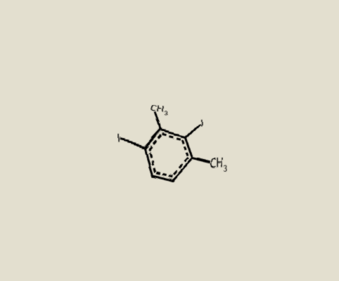 Cc1ccc(I)c(C)c1I